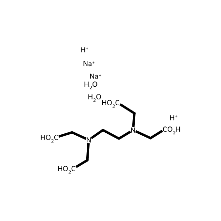 O.O.O=C(O)CN(CCN(CC(=O)O)CC(=O)O)CC(=O)O.[H+].[H+].[Na+].[Na+]